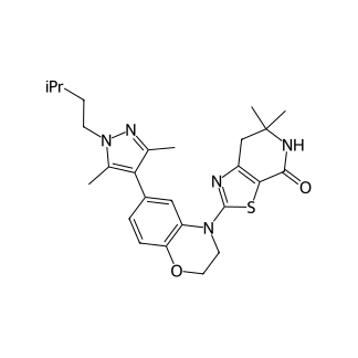 Cc1nn(CCC(C)C)c(C)c1-c1ccc2c(c1)N(c1nc3c(s1)C(=O)NC(C)(C)C3)CCO2